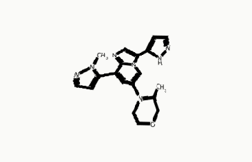 CC1COCCN1c1cc(-c2ccnn2C)c2ncc(-c3ccn[nH]3)n2c1